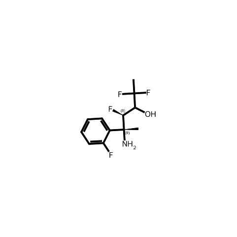 CC(F)(F)C(O)[C@H](F)[C@](C)(N)c1ccccc1F